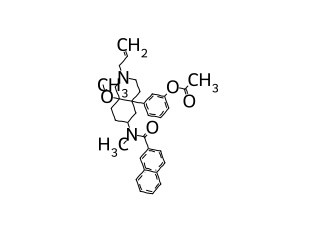 C=CCN1CCC2(c3cccc(OC(C)=O)c3)CC(N(C)C(=O)c3ccc4ccccc4c3)CCC2(OC)C1